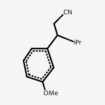 COc1cccc(C(CC#N)C(C)C)c1